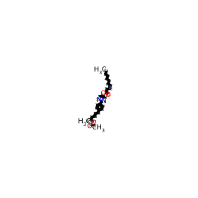 CCCCCCC/C=C\CC(=O)Oc1cnc(-c2ccc(CCCCC(C)OC(C)=O)cc2)nc1